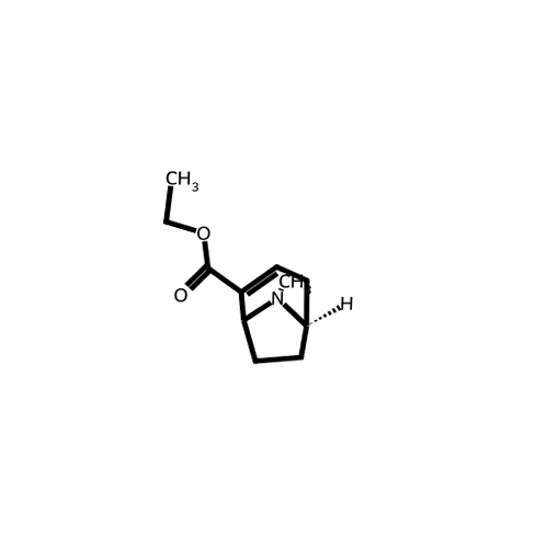 CCOC(=O)C1=CC[C@H]2CCC1N2C